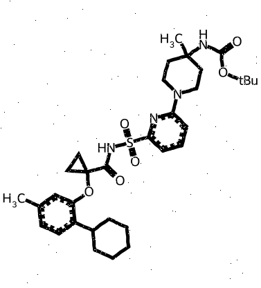 Cc1ccc(C2CCCCC2)c(OC2(C(=O)NS(=O)(=O)c3cccc(N4CCC(C)(NC(=O)OC(C)(C)C)CC4)n3)CC2)c1